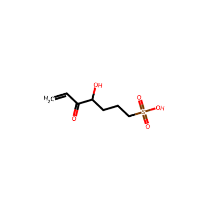 C=CC(=O)C(O)CCCS(=O)(=O)O